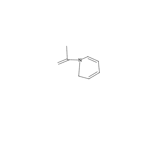 C=C(C)N1C=CC=CC1